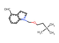 C[Si](C)(C)CCOCn1ccc2c(C=O)cccc21